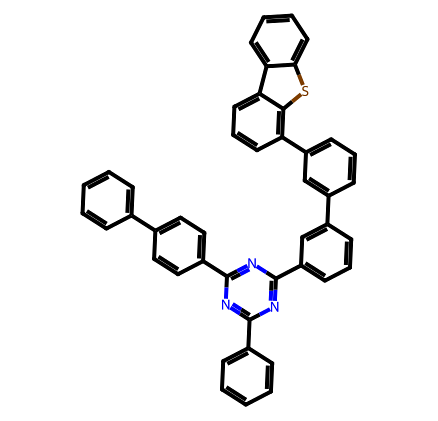 c1ccc(-c2ccc(-c3nc(-c4ccccc4)nc(-c4cccc(-c5cccc(-c6cccc7c6sc6ccccc67)c5)c4)n3)cc2)cc1